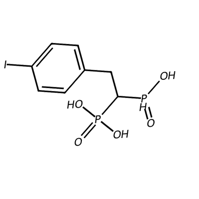 O=[PH](O)C(Cc1ccc(I)cc1)P(=O)(O)O